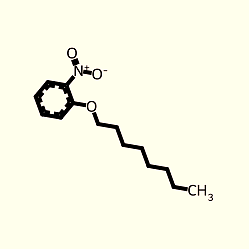 CCCCCCCCOc1ccccc1[N+](=O)[O-]